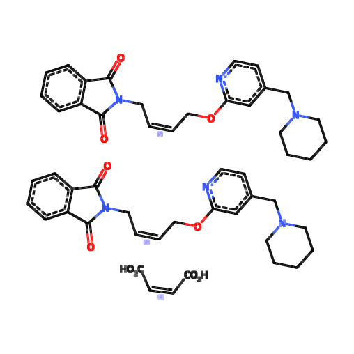 O=C(O)/C=C\C(=O)O.O=C1c2ccccc2C(=O)N1C/C=C\COc1cc(CN2CCCCC2)ccn1.O=C1c2ccccc2C(=O)N1C/C=C\COc1cc(CN2CCCCC2)ccn1